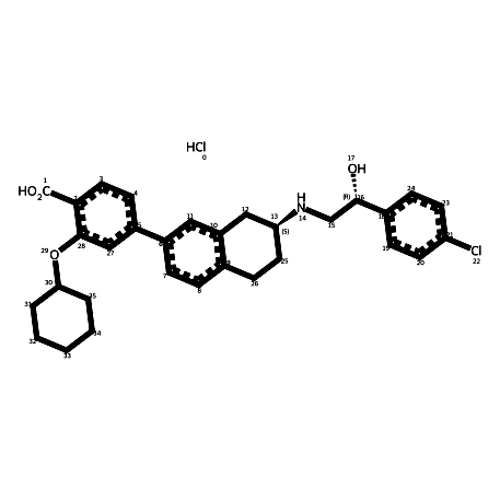 Cl.O=C(O)c1ccc(-c2ccc3c(c2)C[C@@H](NC[C@H](O)c2ccc(Cl)cc2)CC3)cc1OC1CCCCC1